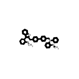 C=NC1=CC=CCC1c1c(Cc2ccc(-c3ccc(CN(c4ccccc4)c4ccccc4N=C)cc3)cc2)oc2ccccc12